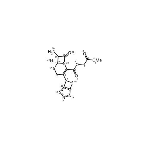 COC(=O)COC(=O)C1=C(C2Sc3nnsc32)CS[C@H]2C(N)C(=O)N12